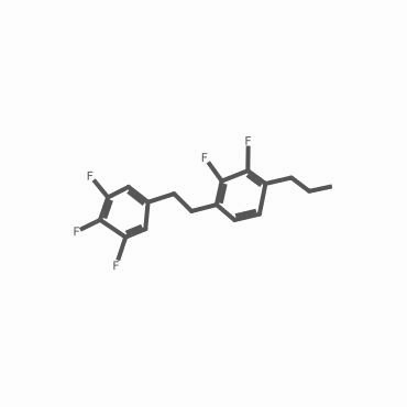 CCCc1ccc(CCc2cc(F)c(F)c(F)c2)c(F)c1F